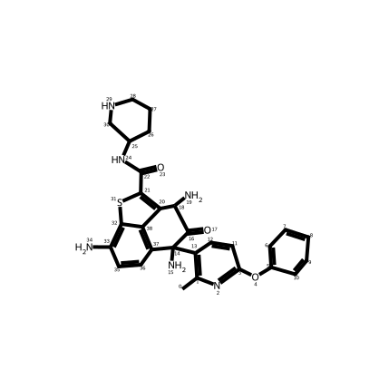 Cc1nc(Oc2ccccc2)ccc1C1(N)C(=O)C(N)c2c(C(=O)NC3CCCNC3)sc3c(N)ccc1c23